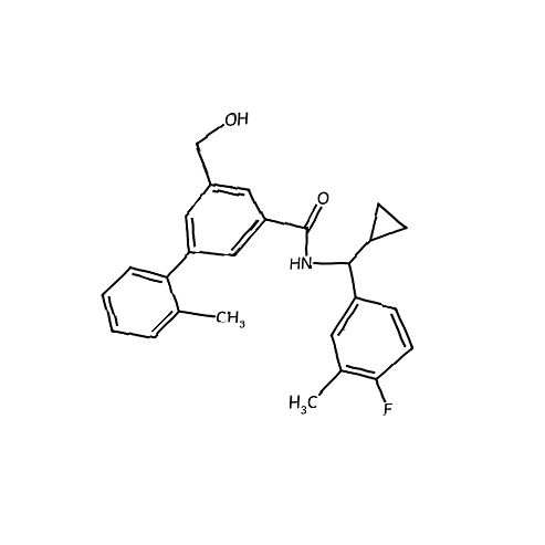 Cc1cc(C(NC(=O)c2cc(CO)cc(-c3ccccc3C)c2)C2CC2)ccc1F